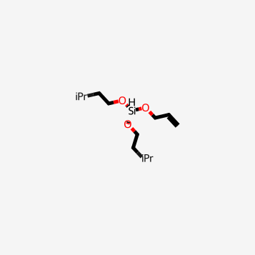 C=CCO[SiH](OCCC(C)C)OCCC(C)C